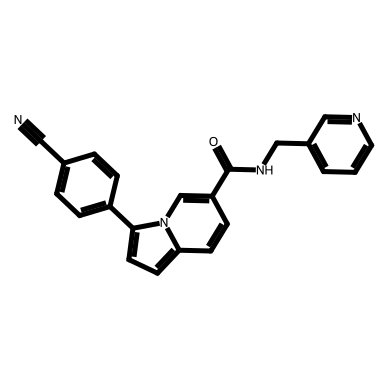 N#Cc1ccc(-c2ccc3ccc(C(=O)NCc4cccnc4)cn23)cc1